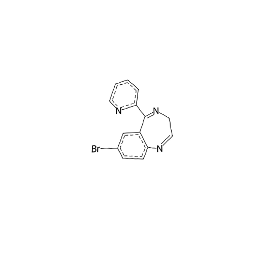 Brc1ccc2c(c1)C(c1ccccn1)=NCC=N2